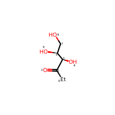 CCC(=O)[C@H](O)[C@@H](O)CO